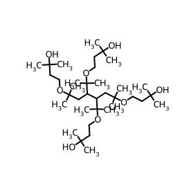 CC(C)(O)CCOC(C)(C)CC(C(CC(C)(C)OCCC(C)(C)O)C(C)(C)OCCC(C)(C)O)C(C)(C)OCCC(C)(C)O